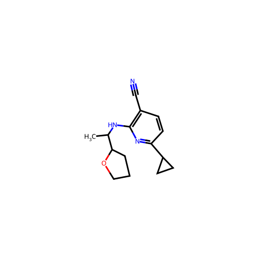 CC(Nc1nc(C2CC2)ccc1C#N)C1CCCO1